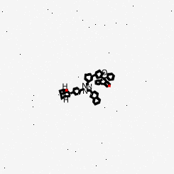 c1cc(-c2ccc3c(c2)C2(c4ccccc4O3)c3ccccc3-c3ccccc32)cc(-c2nc(-c3ccc(C45C[C@@H]6CC7C[C@@H](C4)C76C5)cc3)nc(-c3ccc4ccccc4c3)n2)c1